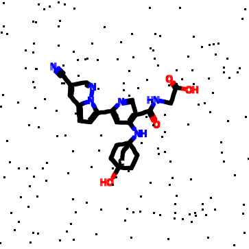 N#Cc1cnn2c(-c3cc(NC45CCC(O)(CC4)CC5)c(C(=O)NCC(=O)O)cn3)ccc2c1